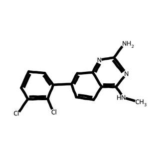 CNc1nc(N)nc2cc(-c3cccc(Cl)c3Cl)ccc12